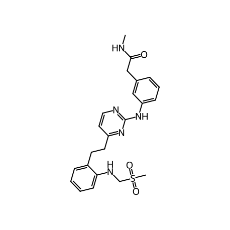 CNC(=O)Cc1cccc(Nc2nccc(CCc3ccccc3NCS(C)(=O)=O)n2)c1